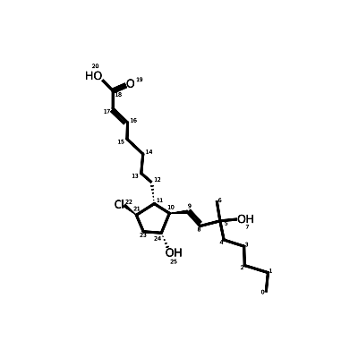 CCCCCC(C)(O)/C=C/[C@@H]1[C@@H](CCCC/C=C/C(=O)O)[C@H](Cl)C[C@H]1O